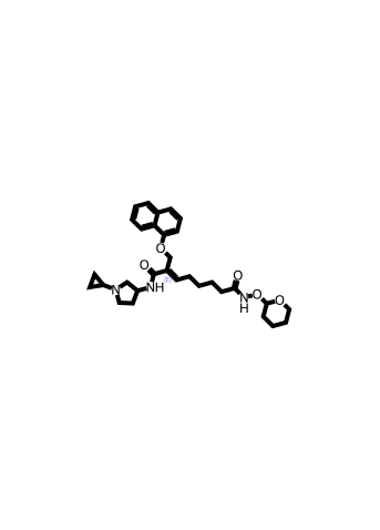 O=C(CCCC/C=C(\COc1cccc2ccccc12)C(=O)NC1CCN(C2CC2)C1)NOC1CCCCO1